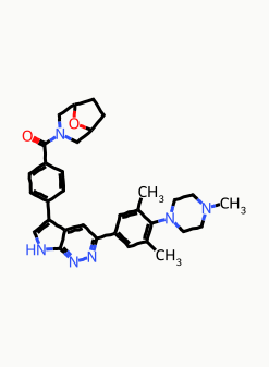 Cc1cc(-c2cc3c(-c4ccc(C(=O)N5CC6CCC(C5)O6)cc4)c[nH]c3nn2)cc(C)c1N1CCN(C)CC1